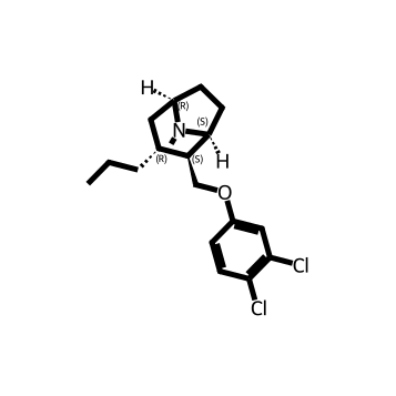 CCC[C@@H]1C[C@H]2CC[C@@H]([C@H]1COc1ccc(Cl)c(Cl)c1)N2C